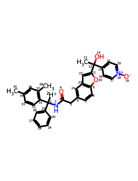 [2H]C(NC(=O)Cc1ccc2oc(C(C)(O)c3cc[n+]([O-])cc3)cc2c1)(c1ccccc1)c1ccc(C)cc1C